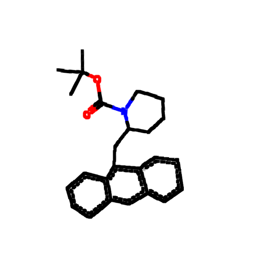 CC(C)(C)OC(=O)N1CCCCC1Cc1c2ccccc2cc2ccccc12